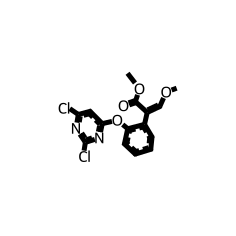 COC=C(C(=O)OC)c1ccccc1Oc1cc(Cl)nc(Cl)n1